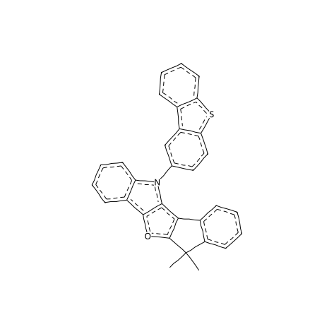 CC1(C)c2ccccc2-c2c1oc1c3ccccc3n(-c3ccc4sc5ccccc5c4c3)c21